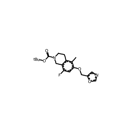 Cc1c(OCc2cnco2)cc(F)c2c1CCN(C(=O)OC(C)(C)C)C2